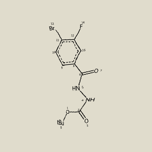 CC(C)(C)OC(=O)NNC(=O)c1ccc(Br)c(F)c1